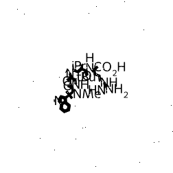 CNC(C(=O)N[C@H](C(=O)N(C)[C@H](/C=C(\C)C(=O)NC(CCCNC(=N)N)C(=O)O)C(C)C)C(C)(C)C)C(C)(C)c1cn(C)c2ccccc12